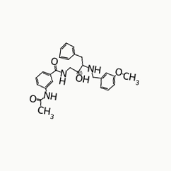 COc1cccc(CNC(Cc2ccccc2)[C@H](O)CNC(=O)c2cccc(NC(C)=O)c2)c1